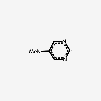 CNc1cn[c]nc1